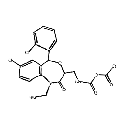 CCC(=O)OC(=O)NCC1OC(c2ccccc2Cl)c2cc(Cl)ccc2N(CC(C)(C)C)C1=O